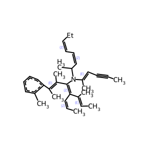 CC#C/C=C(\C)N(C(=C(/C=C\C)C(\C)=C\C)/C(C)=C(\C)c1ccccc1C)C(C)/C=C\C=C/CC